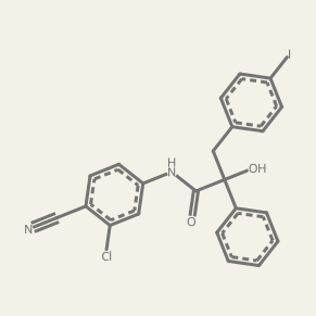 N#Cc1ccc(NC(=O)C(O)(Cc2ccc(I)cc2)c2ccccc2)cc1Cl